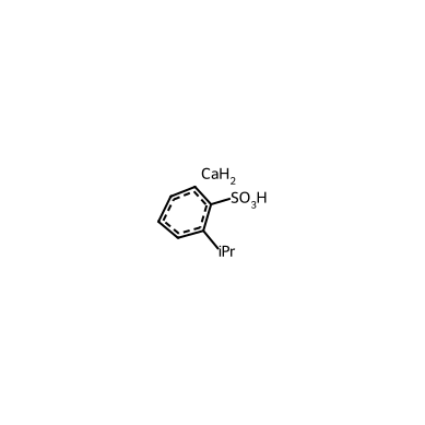 CC(C)c1ccccc1S(=O)(=O)O.[CaH2]